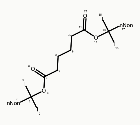 CCCCCCCCCC(I)(I)OC(=O)CCCCC(=O)OC(I)(I)CCCCCCCCC